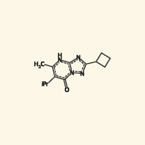 Cc1[nH]c2nc(C3CCC3)nn2c(=O)c1C(C)C